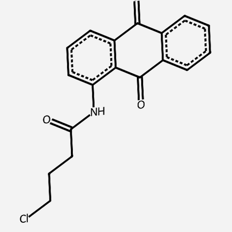 O=C(CCCCl)Nc1cccc2c1C(=O)c1ccccc1C2=O